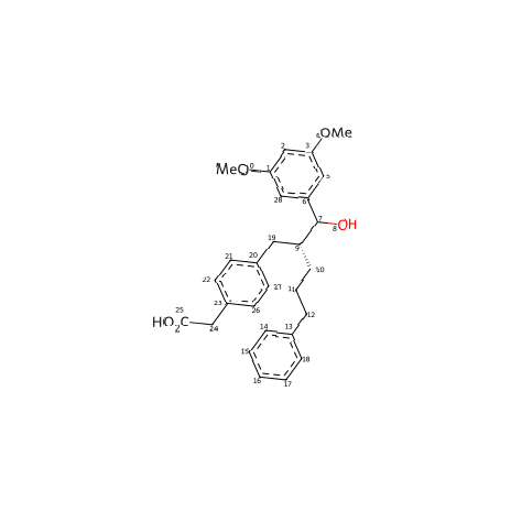 COc1cc(OC)cc(C(O)[C@H](CCCc2ccccc2)Cc2ccc(CC(=O)O)cc2)c1